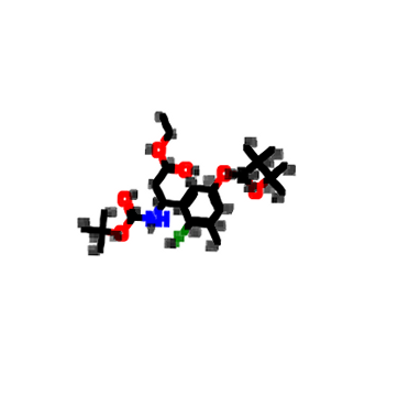 CCOC(=O)CC(NC(=O)OC(C)(C)C)c1cc(OB2OC(C)(C)C2(C)C)cc(C)c1F